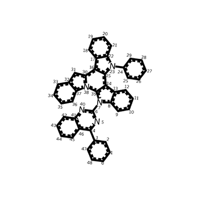 c1ccc(-c2nc(-n3c4ccccc4c4c5c(c6ccccc6n5-c5ccccc5)c5cc6ccccc6n5c43)nc3ccccc23)cc1